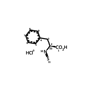 Cl.O=C(O)[C@H](Cc1ccccc1)N=S